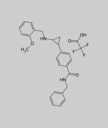 COc1ccccc1CNC1CC1c1ccc(C(=O)NCc2ccccc2)cc1.O=C(O)C(F)(F)F